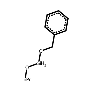 CCCO[SiH2]OCc1ccccc1